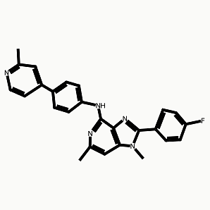 Cc1cc(-c2ccc(Nc3nc(C)cc4c3nc(-c3ccc(F)cc3)n4C)cc2)ccn1